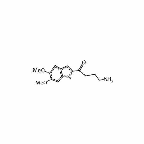 COc1cc2cc(C(=O)CCCN)sc2cc1OC